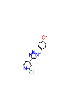 COc1ccc(Cn2cc(-c3ccnc(Cl)c3)nn2)cc1